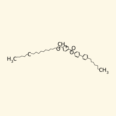 CCCCCCCCCCCCCCCCCCOC(C)c1ccc(C(=O)Oc2ccc(-c3ccc(CCCCCCC)cc3)cc2)cc1